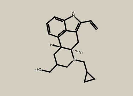 C=Cc1[nH]c2cccc3c2c1C[C@@H]1[C@@H]3CC(CO)CN1CC1CC1